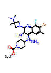 Cc1cc2c(N(N)C3CCN(C(=O)OC(C)(C)C)CC3)c(N)c(N3CC(C)(N(C)C)C3)nc2c(F)c1Br